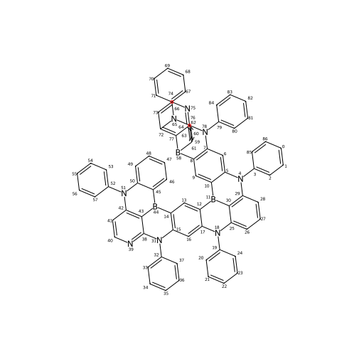 c1ccc(N2c3cc4c(cc3B3c5cc6c(cc5N(c5ccccc5)c5cccc2c53)N(c2ccccc2)c2nccc3c2B6c2ccccc2N3c2ccccc2)B2c3ccccc3N(c3ccccc3)c3ccnc(c32)N4c2ccccc2)cc1